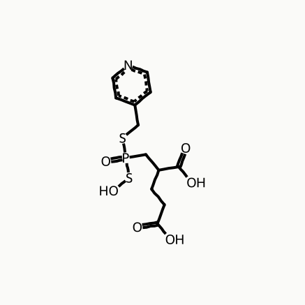 O=C(O)CCC(CP(=O)(SO)SCc1ccncc1)C(=O)O